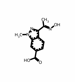 CC(=NO)c1nn(C)c2cc(C(=O)O)ccc12